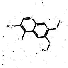 CCCCCCCCCCOc1cc2c(O)c(C(=O)O)cnc2cc1OCC